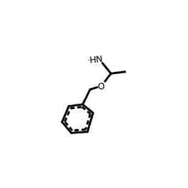 CC([NH])OCc1ccccc1